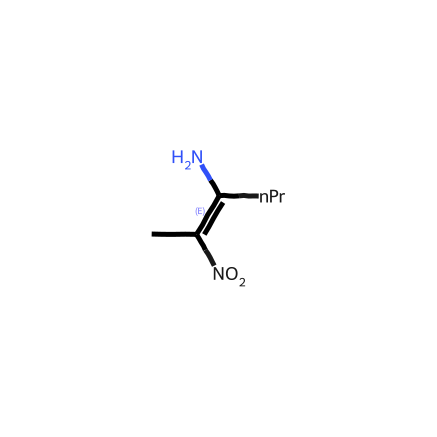 CCC/C(N)=C(/C)[N+](=O)[O-]